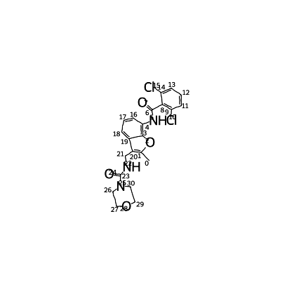 Cc1oc2c(NC(=O)c3c(Cl)cccc3Cl)cccc2c1CNC(=O)N1CCOCC1